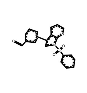 O=Cc1cccc(-c2cn(S(=O)(=O)c3ccccc3)c3ncccc23)c1